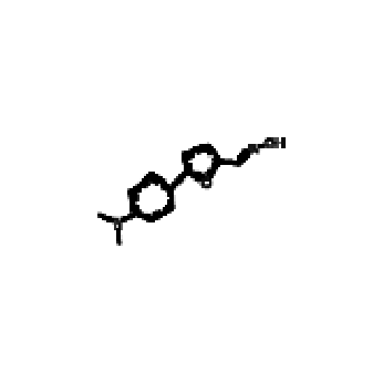 CN(C)c1ccc(-c2ccc(/C=N/O)o2)cc1